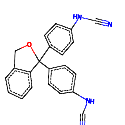 N#CNc1ccc(C2(c3ccc(NC#N)cc3)OCc3ccccc32)cc1